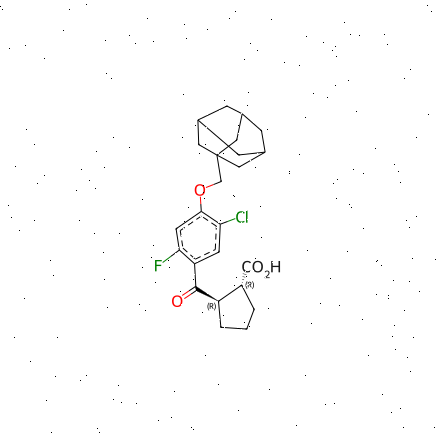 O=C(O)[C@@H]1CCC[C@H]1C(=O)c1cc(Cl)c(OCC23CC4CC(CC(C4)C2)C3)cc1F